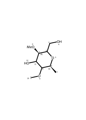 CO[C@H]1C(CO)O[C@@H](C)C(OI)C1O